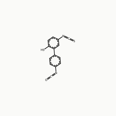 O=C=Nc1ccc(-c2cc(N=C=S)ccc2S)cc1